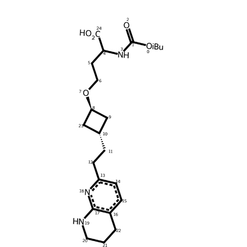 CC(C)COC(=O)NC(CCO[C@H]1C[C@H](CCc2ccc3c(n2)NCCC3)C1)C(=O)O